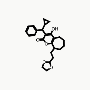 O=c1oc2c(c(O)c1C(c1ccccc1)C1CC1)CCCCC2CCC1OCCO1